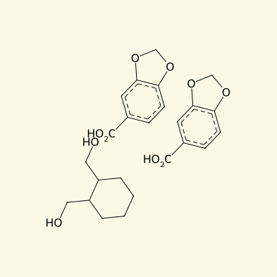 O=C(O)c1ccc2c(c1)OCO2.O=C(O)c1ccc2c(c1)OCO2.OCC1CCCCC1CO